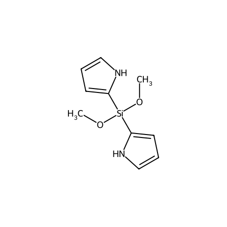 CO[Si](OC)(c1ccc[nH]1)c1ccc[nH]1